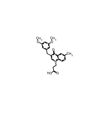 COc1cc(Cc2cn(CCC(=O)O)c3ccc(C)cc3c2=O)cc(OC)c1